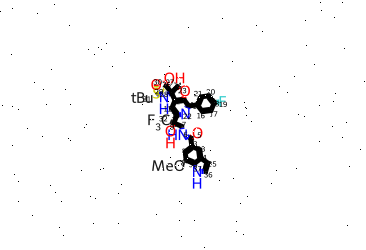 COc1cc(C(=O)NCC(O)(c2cc3c(c(-c4ccc(F)cc4)n2)OCC3(CO)N[S+]([O-])C(C)(C)C)C(F)(F)F)cc2cc[nH]c12